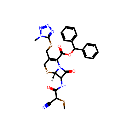 CSC(C#N)C(=O)NC1C(=O)N2C(C(=O)OC(c3ccccc3)c3ccccc3)=C(CSc3nnnn3C)CS[C@@H]12